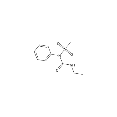 CCNC(=O)N(c1ccccc1)S(C)(=O)=O